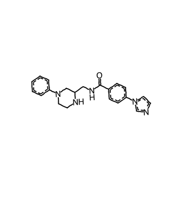 O=C(NCC1CN(c2ccccc2)CCN1)c1ccc(-n2ccnc2)cc1